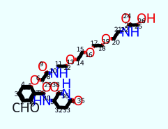 O=Cc1cccc(OCC(=O)NCCOCCOCCOCCNC(=O)CO)c1C(=O)NC1CCC(=O)NC1=O